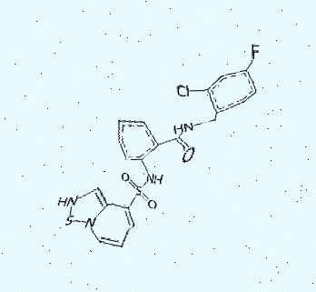 O=C(NCc1ccc(F)cc1Cl)c1ccccc1NS(=O)(=O)C1=CC=CN2SNC=C12